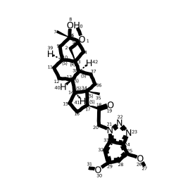 COC[C@]12CC[C@@](C)(O)C[C@@H]1CC[C@H]1[C@@H]3CC[C@H](C(=O)Cn4nnc5c(OC)cc(OC)cc54)[C@@]3(C)CC[C@@H]12